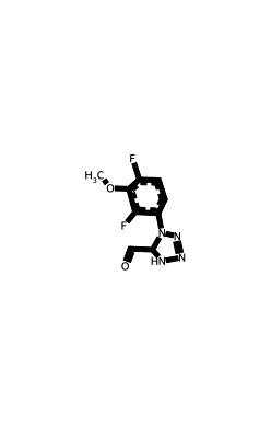 COc1c(F)ccc(N2N=NNC2C=O)c1F